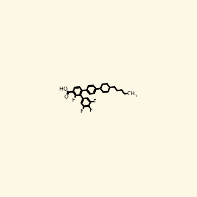 CCCCCC1CCC(c2ccc(-c3ccc(C(=O)O)c(F)c3-c3cc(F)c(F)c(F)c3)cc2)CC1